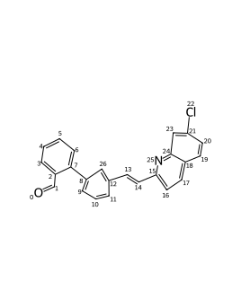 O=Cc1ccccc1-c1cccc(C=Cc2ccc3ccc(Cl)cc3n2)c1